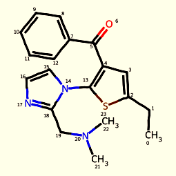 CCc1cc(C(=O)c2ccccc2)c(-n2ccnc2CN(C)C)s1